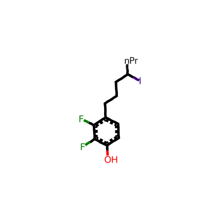 CCCC(I)CCCc1ccc(O)c(F)c1F